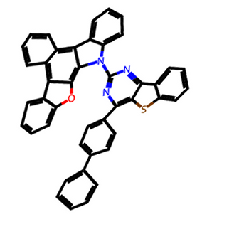 c1ccc(-c2ccc(-c3nc(-n4c5ccccc5c5c6ccccc6c6c7ccccc7oc6c54)nc4c3sc3ccccc34)cc2)cc1